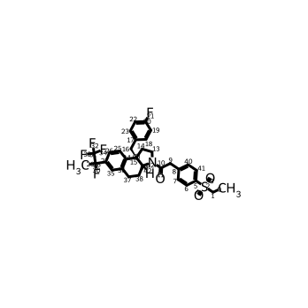 CCS(=O)(=O)c1ccc(CC(=O)N2CC[C@@]3(Cc4ccc(F)cc4)c4ccc(C(C)(F)C(F)(F)F)cc4CC[C@@H]23)cc1